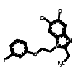 Fc1cccc(OCCn2c(CC(F)(F)F)nc3cc(Cl)c(Cl)cc32)c1